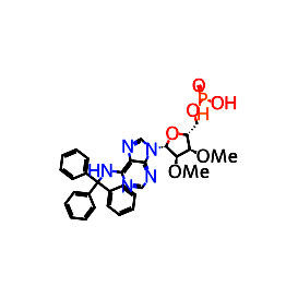 CO[C@@H]1[C@H](OC)[C@@H](CO[PH](=O)O)O[C@H]1n1cnc2c(NC(c3ccccc3)(c3ccccc3)c3ccccc3)ncnc21